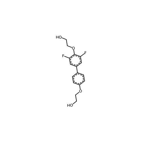 OCCOc1ccc(-c2cc(F)c(OCCO)c(F)c2)cc1